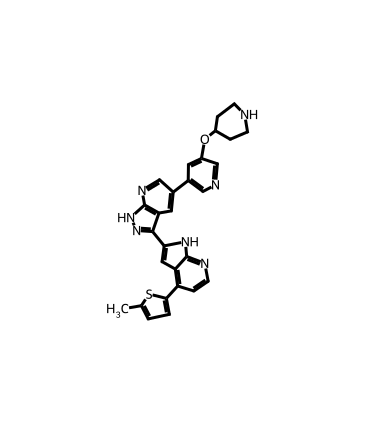 Cc1ccc(-c2ccnc3[nH]c(-c4n[nH]c5ncc(-c6cncc(OC7CCNCC7)c6)cc45)cc23)s1